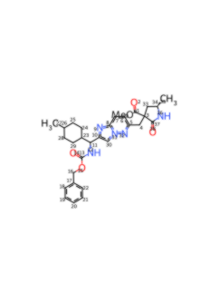 COC(=O)C1(Cc2ccc3nc([C@@H](NC(=O)OCc4ccccc4)C4CCC(C)CC4)cn3n2)C[C@@H](C)NC1=O